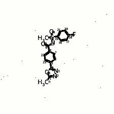 Cc1nnc(-c2ccc(C(=O)N=S(C)(=O)c3ccc(F)cc3)cc2)o1